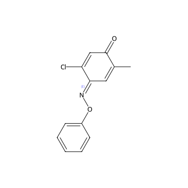 CC1=C/C(=N\Oc2ccccc2)C(Cl)=CC1=O